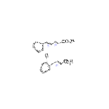 O=C(O)/C=C/C=C/c1ccccc1.O=C(O)/C=C/c1ccccc1Cl